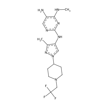 CNc1nc(Nc2cn(C3CCN(CC(F)(F)F)CC3)nc2C)ncc1N